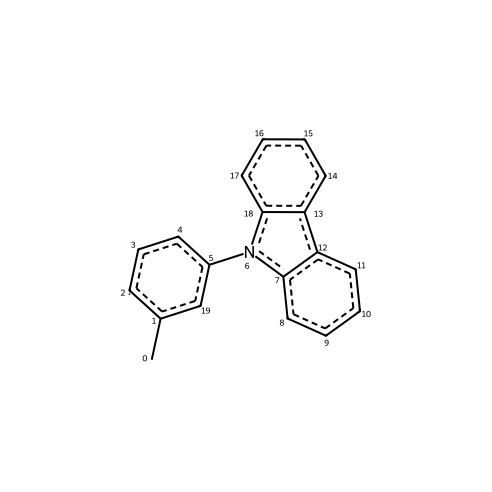 Cc1[c]ccc(-n2c3ccccc3c3ccccc32)c1